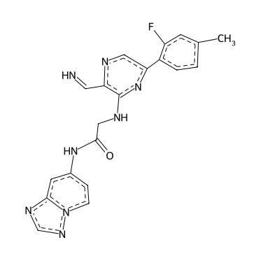 Cc1ccc(-c2cnc(C=N)c(NCC(=O)Nc3ccn4ncnc4c3)n2)c(F)c1